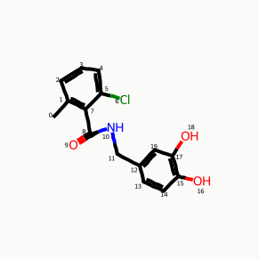 Cc1cccc(Cl)c1C(=O)NCc1ccc(O)c(O)c1